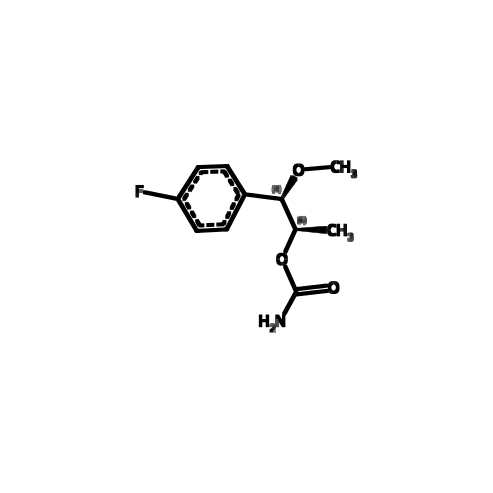 CO[C@H](c1ccc(F)cc1)[C@@H](C)OC(N)=O